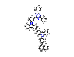 c1ccc(-c2nc(-c3ccccc3)nc(-c3cccc(-n4c5ccccc5c5cc(-c6ccc7c(c6)c6ccccc6n7-c6ccc(-c7cccc8ccccc78)cc6)ccc54)c3)n2)cc1